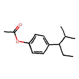 CCC(c1ccc(OC(C)=O)cc1)C(C)C